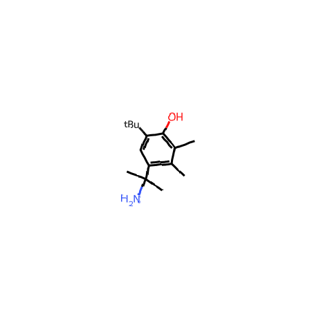 Cc1c(C(C)(C)N)cc(C(C)(C)C)c(O)c1C